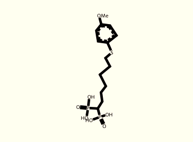 COc1ccc(SCCCCCCC(P(=O)(O)O)P(=O)(O)O)cc1